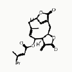 C=C1C(=O)OC2CC3=C[C@@H](C/C(C)=C/C(OC(=O)/C=C(\C)C(C)C)[C@H]12)OC3=O